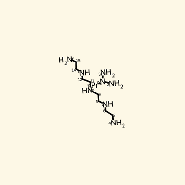 CCCN(N)N.NCCNCCNCCNCCN